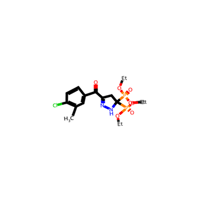 CCOP(=O)(OCC)C1(P(=O)(OCC)OCC)CC(C(=O)c2ccc(Cl)c(C)c2)=NN1